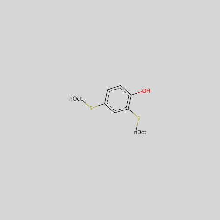 CCCCCCCCSc1ccc(O)c(SCCCCCCCC)c1